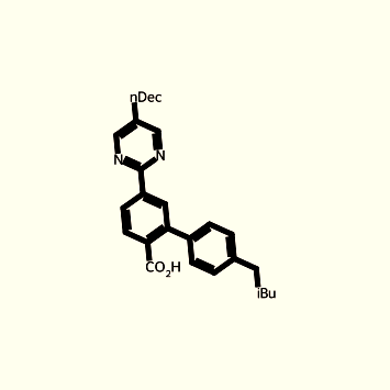 CCCCCCCCCCc1cnc(-c2ccc(C(=O)O)c(-c3ccc(CC(C)CC)cc3)c2)nc1